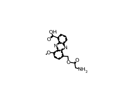 COc1ccc(COC(=O)CN)c2nc3cccc(C(=O)O)c3nc12